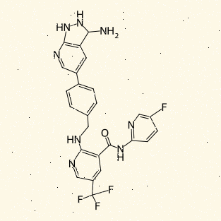 NC1NNc2ncc(-c3ccc(CNc4ncc(C(F)(F)F)cc4C(=O)Nc4ccc(F)cn4)cc3)cc21